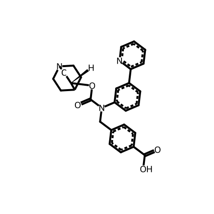 O=C(O)c1ccc(CN(C(=O)O[C@H]2CN3CCC2CC3)c2cccc(-c3ccccn3)c2)cc1